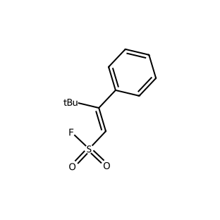 CC(C)(C)C(=CS(=O)(=O)F)c1ccccc1